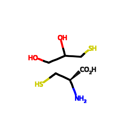 N[C@@H](CS)C(=O)O.OCC(O)CS